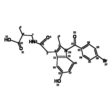 Cc1c(CC(=O)NCC(C)C(=O)O)c2cc(O)ccc2n1C(=O)c1ccc(Br)cc1